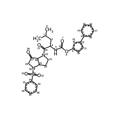 CC(C)CC(NC(=O)Oc1ccc(-c2ccccc2)s1)C(=O)N1CCC2C1C(=O)CN2S(=O)(=O)c1ccccc1